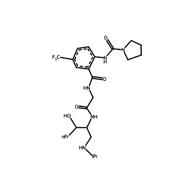 CCCC(O)C(CNC(C)C)NC(=O)CNC(=O)c1cc(C(F)(F)F)ccc1NC(=O)N1CCCC1